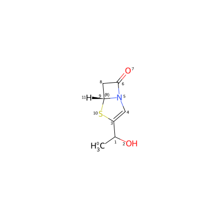 CC(O)C1=CN2C(=O)C[C@H]2S1